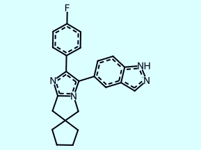 Fc1ccc(-c2nc3n(c2-c2ccc4[nH]ncc4c2)CC2(CCCC2)C3)cc1